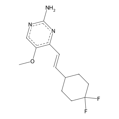 COc1cnc(N)nc1C=CC1CCC(F)(F)CC1